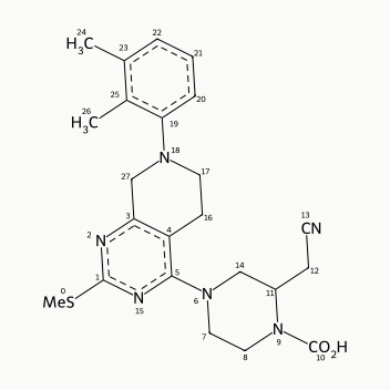 CSc1nc2c(c(N3CCN(C(=O)O)C(CC#N)C3)n1)CCN(c1cccc(C)c1C)C2